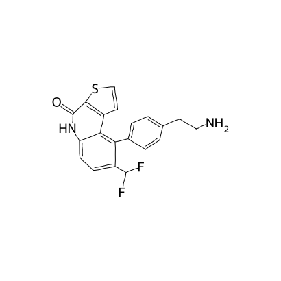 NCCc1ccc(-c2c(C(F)F)ccc3[nH]c(=O)c4sccc4c23)cc1